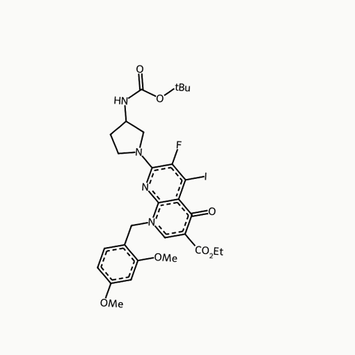 CCOC(=O)c1cn(Cc2ccc(OC)cc2OC)c2nc(N3CCC(NC(=O)OC(C)(C)C)C3)c(F)c(I)c2c1=O